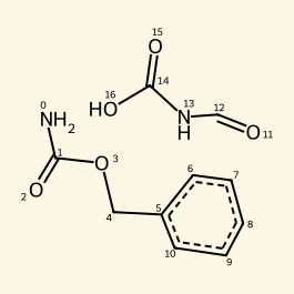 NC(=O)OCc1ccccc1.O=CNC(=O)O